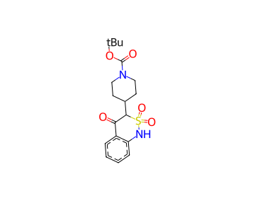 CC(C)(C)OC(=O)N1CCC(C2C(=O)c3ccccc3NS2(=O)=O)CC1